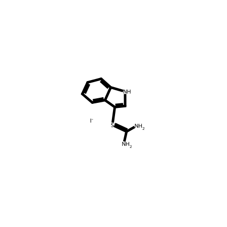 NC(N)=[S+]c1c[nH]c2ccccc12.[I-]